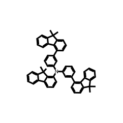 CC1(C)c2ccccc2-c2c(-c3cccc(N(c4cccc(-c5cccc6c5-c5ccccc5C6(C)C)c4)c4cccc5c4C(C)(C)c4ccccc4-5)c3)cccc21